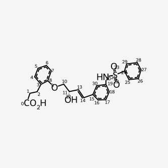 O=C(O)CCc1ccccc1OC[C@@H](O)/C=C/c1cccc(NS(=O)(=O)c2ccccc2)c1